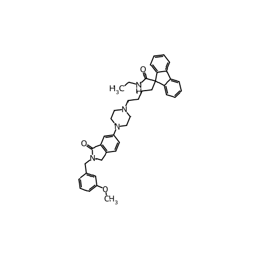 CCNC(=O)C1(CCCCN2CCN(c3ccc4c(c3)C(=O)N(Cc3cccc(OC)c3)C4)CC2)c2ccccc2-c2ccccc21